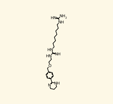 N=C(N)NCCCCCCCCNC(=N)NCCOCc1ccc(C2=NCCCN2)cc1